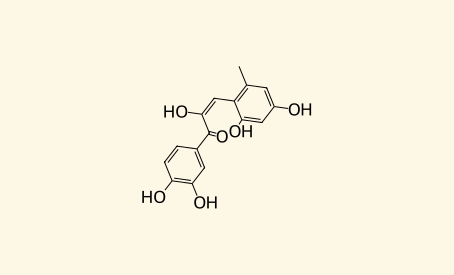 Cc1cc(O)cc(O)c1/C=C(/O)C(=O)c1ccc(O)c(O)c1